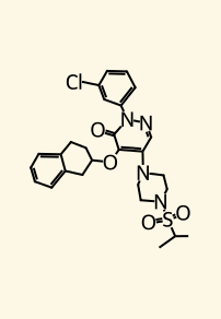 CC(C)S(=O)(=O)N1CCN(c2cnn(-c3cccc(Cl)c3)c(=O)c2OC2CCc3ccccc3C2)CC1